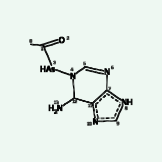 CC(=O)[AsH]N1C=Nc2[nH]cnc2C1N